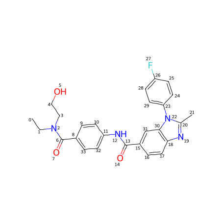 CCN(CCO)C(=O)c1ccc(NC(=O)c2ccc3nc(C)n(-c4ccc(F)cc4)c3c2)cc1